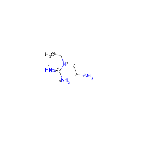 CCN(CCN)C(=N)N